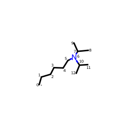 [CH2]CCCCCN(C(C)C)C(C)C